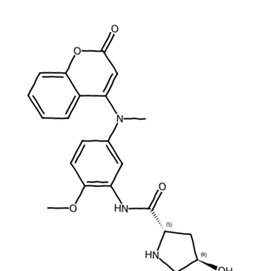 COc1ccc(N(C)c2cc(=O)oc3ccccc23)cc1NC(=O)[C@@H]1C[C@@H](O)CN1